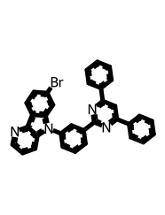 Brc1ccc2c3ncccc3n(-c3cccc(-c4nc(-c5ccccc5)cc(-c5ccccc5)n4)c3)c2c1